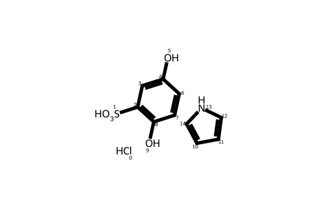 Cl.O=S(=O)(O)c1cc(O)ccc1O.c1cc[nH]c1